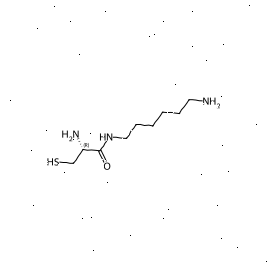 NCCCCCCNC(=O)[C@@H](N)CS